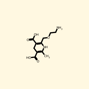 CC1=C(C(=O)O)CC(C(=O)O)=C(COCCN)N1